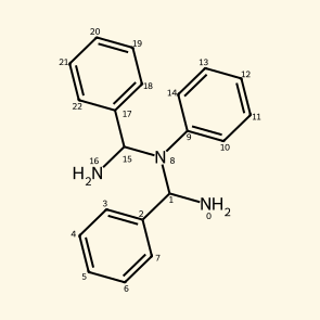 NC(c1ccccc1)N(c1ccccc1)C(N)c1ccccc1